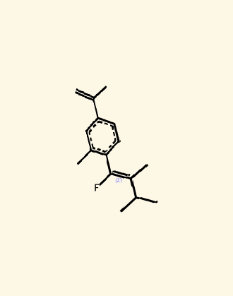 C=C(C)c1ccc(/C(F)=C(\C)C(C)C)c(C)c1